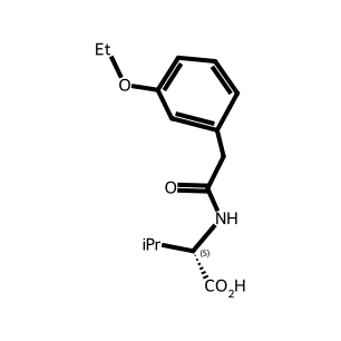 CCOc1cccc(CC(=O)N[C@H](C(=O)O)C(C)C)c1